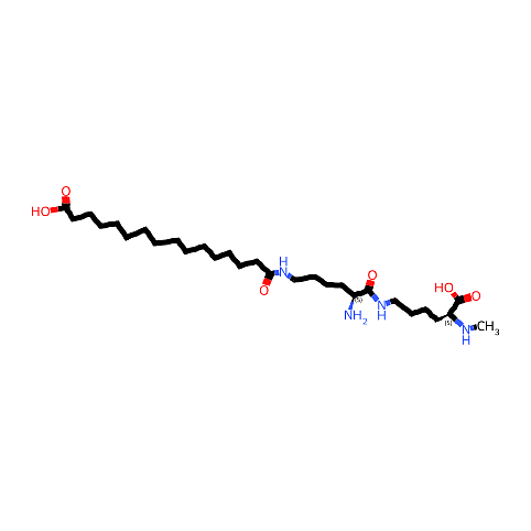 CN[C@@H](CCCCNC(=O)[C@@H](N)CCCCNC(=O)CCCCCCCCCCCCCCC(=O)O)C(=O)O